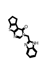 O=c1c2c3c(sc2ncn1Cc1nc2ccccc2[nH]1)CCC3